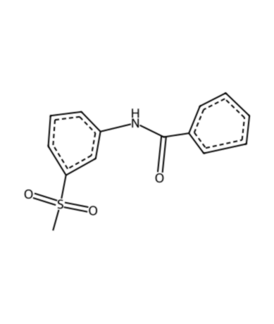 CS(=O)(=O)c1cccc(NC(=O)c2ccccc2)c1